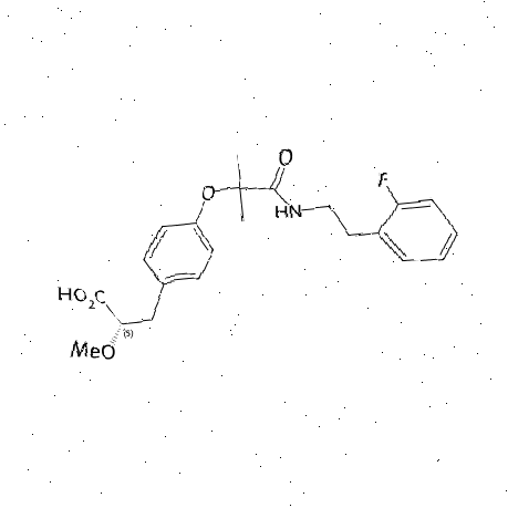 CO[C@@H](Cc1ccc(OC(C)(C)C(=O)NCCc2ccccc2F)cc1)C(=O)O